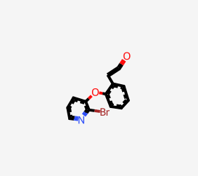 O=C=Cc1ccccc1Oc1cccnc1Br